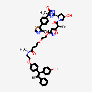 CC/C(=C(/c1ccc(O)cc1)c1ccc(OCCN(C)C(=O)CCCOCCOc2cc(C(C(=O)N3C[C@H](O)C[C@@H]3C3=NC(=O)[C@@](C)(c4ccc(-c5scnc5C)cc4)N3)C(C)C)on2)cc1)c1ccccc1